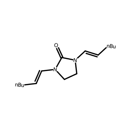 CCCCC=CN1CCN(C=CCCCC)C1=O